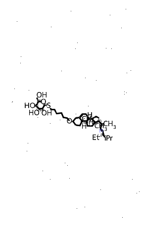 CC[C@H](/C=C/[C@@H](C)[C@H]1CC[C@H]2[C@@H]3CC=C4CC(OCCCCCCS[C@@H]5O[C@H](CO)[C@@H](O)[C@H](O)[C@@H]5O)CC[C@]4(C)[C@H]3CC[C@]12C)C(C)C